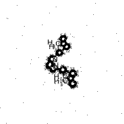 CC1(C)c2ccccc2-c2cccc(-c3ccc(-c4ccc5ccc6ccc(-c7ccc(-c8cccc9c8C(C)(C)c8ccccc8-9)cc7)nc6c5n4)cc3)c21